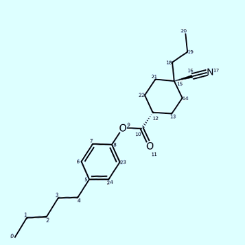 CCCCCc1ccc(OC(=O)[C@H]2CC[C@@](C#N)(CCC)CC2)cc1